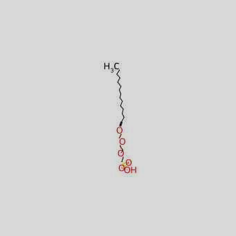 CCCCCCCCCCCCCCC#COCCOCCOCCS(=O)(=O)O